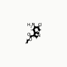 CCOC(=O)c1cnn2cc(Cl)c(N)cc12